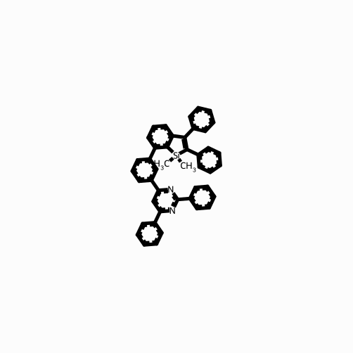 C[Si]1(C)C(c2ccccc2)=C(c2ccccc2)c2cccc(-c3cccc(-c4cc(-c5ccccc5)nc(-c5ccccc5)n4)c3)c21